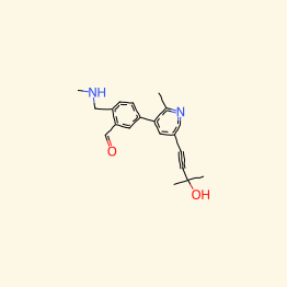 CNCc1ccc(-c2cc(C#CC(C)(C)O)cnc2C)cc1C=O